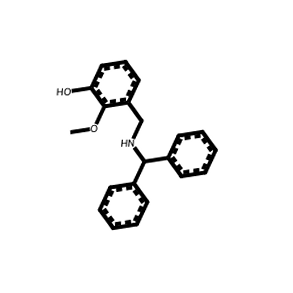 COc1c(O)cccc1CNC(c1ccccc1)c1ccccc1